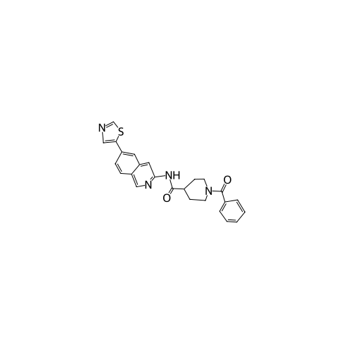 O=C(Nc1cc2cc(-c3cncs3)ccc2cn1)C1CCN(C(=O)c2ccccc2)CC1